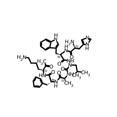 CC(=O)[C@H](CCCCN)NC(=O)[C@@H](Cc1ccccc1)NC(=O)[C@H](C)NC(=O)N(CC(C)C)NC(=O)[C@@H](Cc1c[nH]c2ccccc12)NC(=O)[C@@H](N)Cc1cnc[nH]1